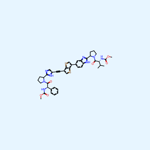 COC(=O)N[C@@H](C(=O)N1CCCC1c1ncc(C#Cc2csc3c(-c4ccc5[nH]c(C6CCCN6C(=O)[C@H](NC(=O)OC)C(C)C)nc5c4)csc23)[nH]1)c1ccccc1